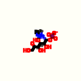 N.N.O=C(CO)[C@@H](O)[C@H](O)[C@H](O)COP(=O)([O-])[O-].[Pt+2]